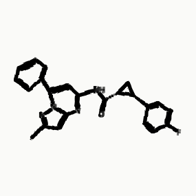 Cc1cc2nc(NC(=O)[C@@H]3C[C@H]3c3ccc(F)cc3)cc(-c3ccccc3)n2n1